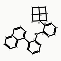 c1ccc(-c2cccc3ccccc23)c(Nc2ccccc2C23CC4CC5CC(C2)C543)c1